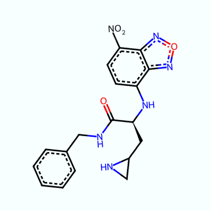 O=C(NCc1ccccc1)[C@H](CC1CN1)Nc1ccc([N+](=O)[O-])c2nonc12